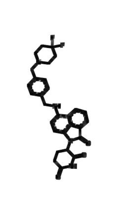 O=C1CCC(N2C(=O)c3cccc4c(NCc5ccc(CN6CCC(F)(F)CC6)cc5)ccc2c34)C(=O)N1